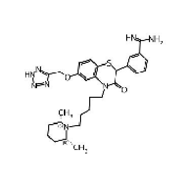 C[C@@H]1CCC[C@H](C)N1CCCCCN1C(=O)C(c2cccc(C(=N)N)c2)Sc2ccc(OCc3nn[nH]n3)cc21